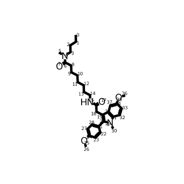 CCCCN(C)C(=O)CCCCCCCNC(=O)Cc1c(-c2ccc(OC)cc2)n(C)c2ccc(OC)cc12